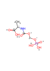 CC(NC(=O)OCOP(=O)(O)O)C(=O)O